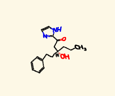 CCC[C@@](O)(CCc1ccccc1)CC(=O)c1ncc[nH]1